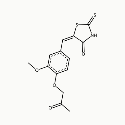 COc1cc(/C=C2/SC(=S)NC2=O)ccc1OCC(C)=O